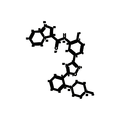 Cc1ccc(-c2noc(-c3ccccc3N3CCN(C)CC3)n2)cc1NC(=O)c1cnc2ccccn12